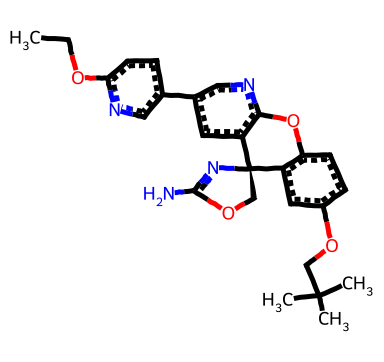 CCOc1ccc(-c2cnc3c(c2)[C@]2(COC(N)=N2)c2cc(OCC(C)(C)C)ccc2O3)cn1